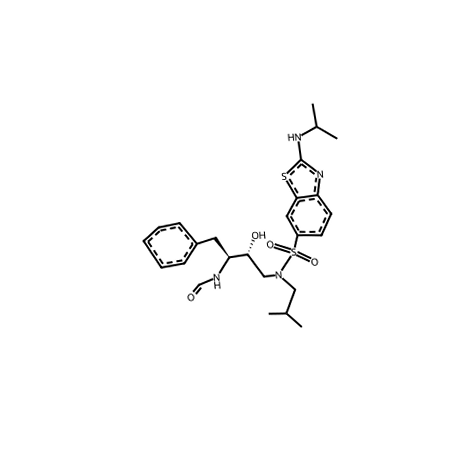 CC(C)CN(C[C@@H](O)[C@H](Cc1ccccc1)NC=O)S(=O)(=O)c1ccc2nc(NC(C)C)sc2c1